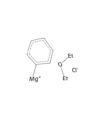 CCOCC.[Cl-].[Mg+][c]1ccccc1